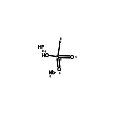 F.O=S(=O)(O)F.[Nb]